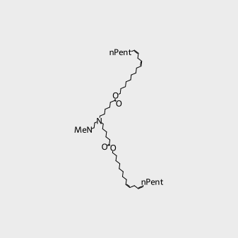 CCCCC/C=C\C/C=C\CCCCCCCCOC(=O)CCCCCN(CCCCCC(=O)OCCCCCCCC/C=C\C/C=C\CCCCC)CCNC